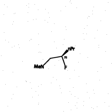 CCC[C@@H](F)CNC